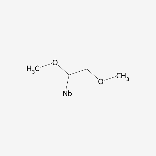 COC[CH]([Nb])OC